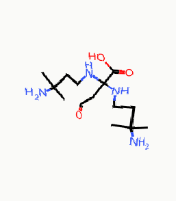 CC(C)(N)CCNC(CC=O)(NCCC(C)(C)N)C(=O)O